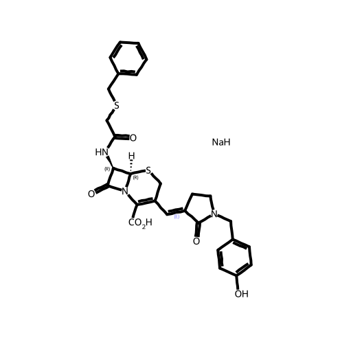 O=C(CSCc1ccccc1)N[C@@H]1C(=O)N2C(C(=O)O)=C(/C=C3\CCN(Cc4ccc(O)cc4)C3=O)CS[C@H]12.[NaH]